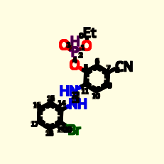 CCO[PH](=O)Oc1cc(C#N)ccc1NNc1ccccc1Br